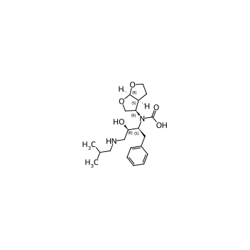 CC(C)CNC[C@@H](O)[C@H](Cc1ccccc1)N(C(=O)O)[C@H]1CO[C@H]2OCC[C@H]21